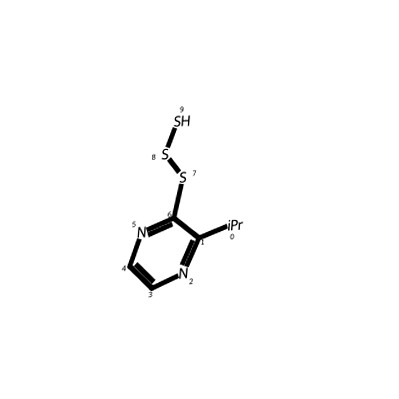 CC(C)c1nccnc1SSS